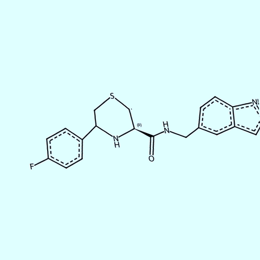 O=C(NCc1ccc2[nH]ncc2c1)[C@@H]1[CH]SCC(c2ccc(F)cc2)N1